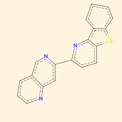 c1cnc2cc(-c3ccc4sc5ccccc5c4n3)ncc2c1